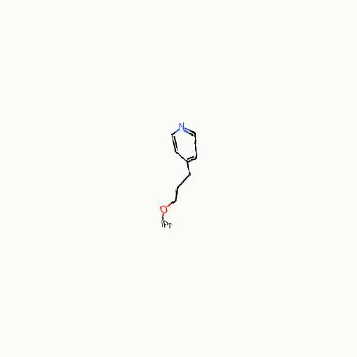 CC(C)OCCCc1ccncc1